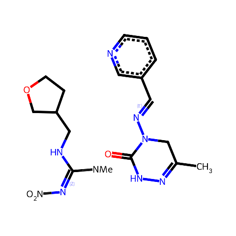 CC1=NNC(=O)N(/N=C/c2cccnc2)C1.CN/C(=N/[N+](=O)[O-])NCC1CCOC1